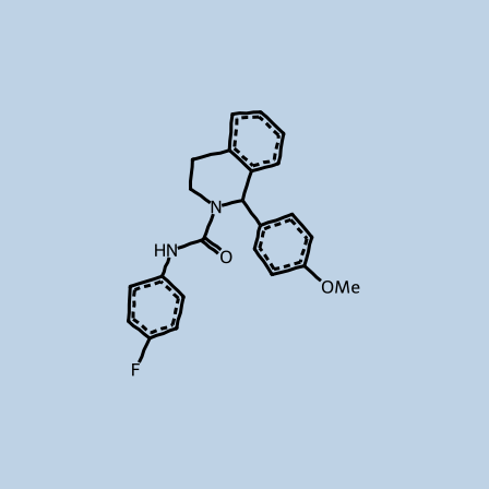 COc1ccc(C2c3ccccc3CCN2C(=O)Nc2ccc(F)cc2)cc1